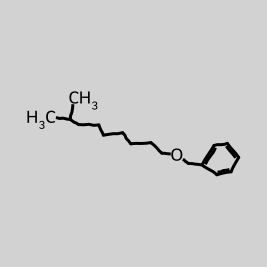 CC(C)CCCCCCCOCc1ccccc1